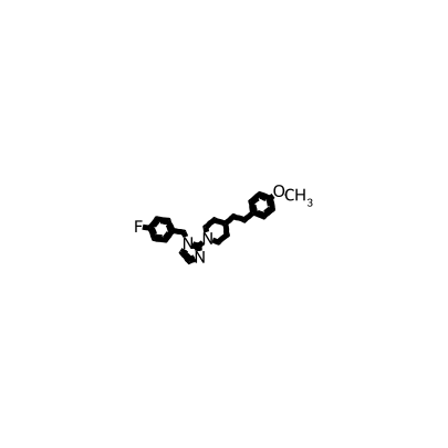 COc1ccc(CCC2CCN(c3nccn3Cc3ccc(F)cc3)CC2)cc1